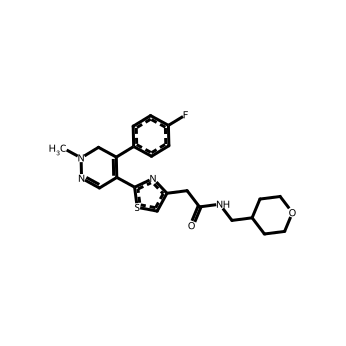 CN1CC(c2ccc(F)cc2)=C(c2nc(CC(=O)NCC3CCOCC3)cs2)C=N1